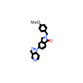 COc1ccc(CN2Cc3cc(-n4ncc5cnccc54)ccc3C2=O)cc1